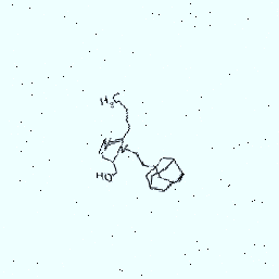 CCCCC1=NCC(CO)N1CCC12CC3CC(CC(C3)C1)C2